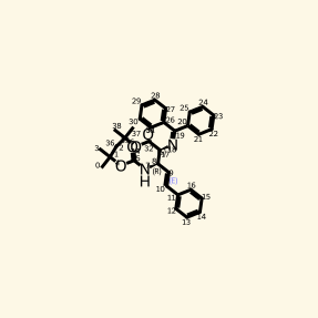 CC(C)(C)OC(=O)N[C@H](/C=C/c1ccccc1)[C@H](N=C(c1ccccc1)c1ccccc1)C(=O)OC(C)(C)C